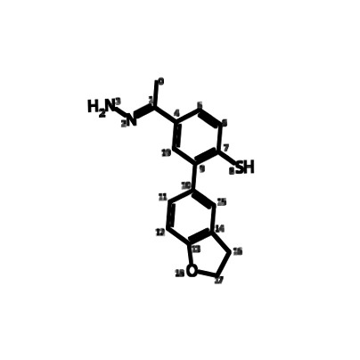 CC(=NN)c1ccc(S)c(-c2ccc3c(c2)CCO3)c1